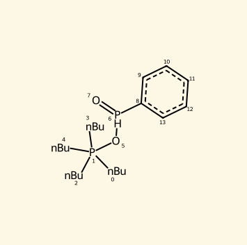 CCCCP(CCCC)(CCCC)(CCCC)O[PH](=O)c1ccccc1